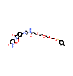 Cc1ccc(SOCCOCCOCCOCCC(=O)NC2CN(c3ccc4c(c3)C(=O)N(C3CCC(=O)NC3=O)C4=O)C2)cc1